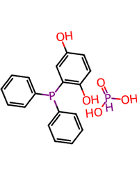 O=[PH](O)O.Oc1ccc(O)c(P(c2ccccc2)c2ccccc2)c1